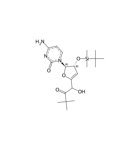 CC(C)(C)C(=O)C(O)C1=C[C@@H](O[Si](C)(C)C(C)(C)C)[C@H](n2ccc(N)nc2=O)O1